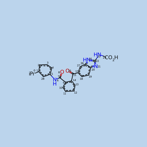 CC(C)c1cccc(NC(=O)c2ccccc2C(=O)c2ccc3nc(NC(=O)O)[nH]c3c2)c1